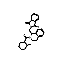 CC1CCCCC1C(=O)N1CCc2ccccc2C1CN1C(=O)c2ccccc2C1=O